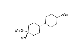 CCCCC1CCC([C@H]2CC[C@@](CCC)(OC)CC2)CC1